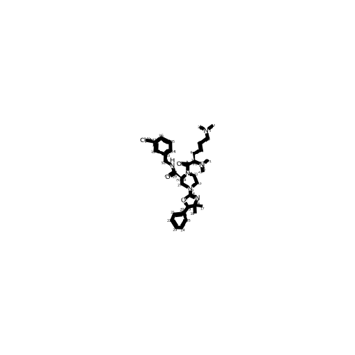 CN(C)CCCC[C@H](C(=O)N1CCN(C2=NC(C)(C)C(c3ccccc3)O2)C[C@H]1C(=O)NCc1cccc(Cl)c1)N(C)C